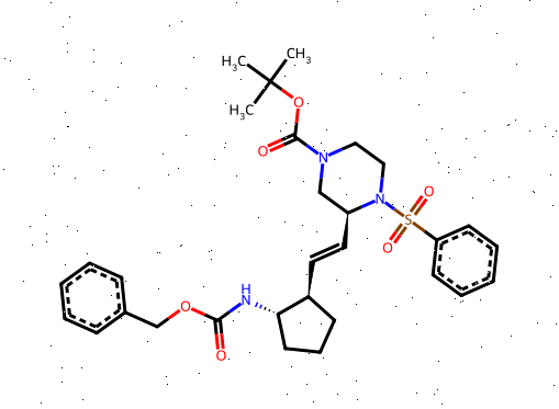 CC(C)(C)OC(=O)N1CCN(S(=O)(=O)c2ccccc2)[C@@H](/C=C/[C@H]2CCC[C@@H]2NC(=O)OCc2ccccc2)C1